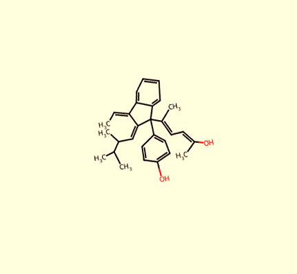 C/C=C1\C(=C/C(C)C(C)C)C(/C(C)=C/C=C(\C)O)(c2ccc(O)cc2)c2ccccc21